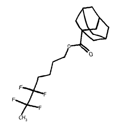 CC(F)(F)C(F)(F)CCCCOC(=O)C12CC3CC(CC(C3)C1)C2